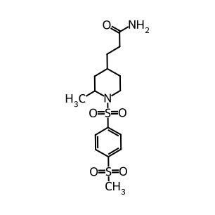 CC1CC(CCC(N)=O)CCN1S(=O)(=O)c1ccc(S(C)(=O)=O)cc1